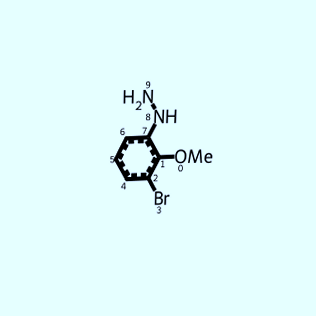 COc1c(Br)cccc1NN